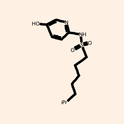 CC(C)CCCCCS(=O)(=O)Nc1ccc(O)cn1